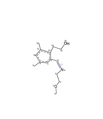 COCC/N=C\c1cc(C)cc(C)c1CCO